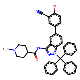 CN1CCC(C(=O)Nc2nn(C(c3ccccc3)(c3ccccc3)c3ccccc3)c3ccc(-c4ccc(O)c(C#N)c4)cc23)CC1